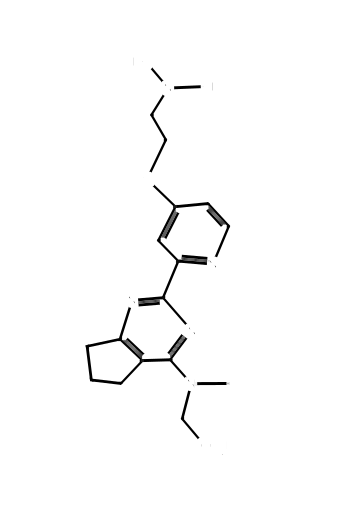 CN(C)CCOc1ccnc(-c2nc3c(c(N(C)CC(=O)O)n2)CCC3)c1